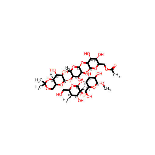 CO[C@@H]1OC(CO)[C@H](O[C@@H]2OC(CO)[C@H](C)[C@@H](O)C2(C)O)[C@H](O[C@@H]2OC(COC(C)=O)[C@@H](O)[C@@H](O)C2O[C@@H]2OC(C)C(O[C@@H]3OC4COC(C)(C)O[C@H]4[C@@H](O)C3O)[C@@H](O)C2O)C1O